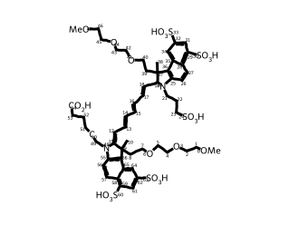 COCCOCCOCCC1(C)C(=CC=CC=CC=CC2N(CCCS(=O)(=O)O)c3ccc4c(S(=O)(=O)O)cc(S(=O)(=O)O)cc4c3C2(C)CCOCCOCCOC)N(CCCCCC(=O)O)c2ccc3c(S(=O)(=O)O)cc(S(=O)(=O)O)cc3c21